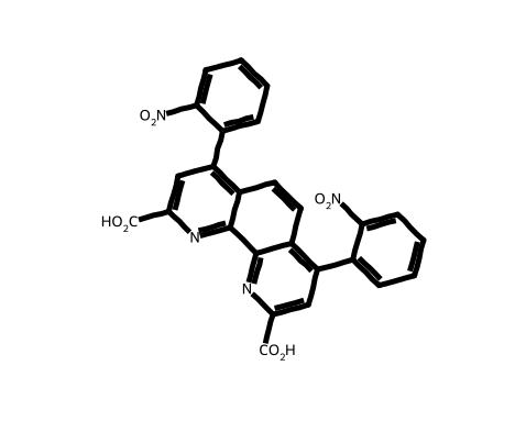 O=C(O)c1cc(-c2ccccc2[N+](=O)[O-])c2ccc3c(-c4ccccc4[N+](=O)[O-])cc(C(=O)O)nc3c2n1